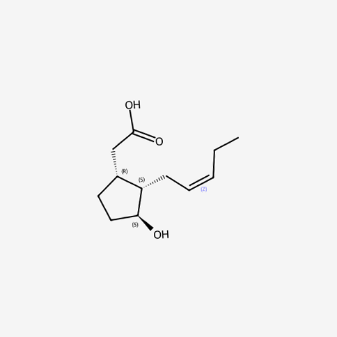 CC/C=C\C[C@H]1[C@@H](CC(=O)O)CC[C@@H]1O